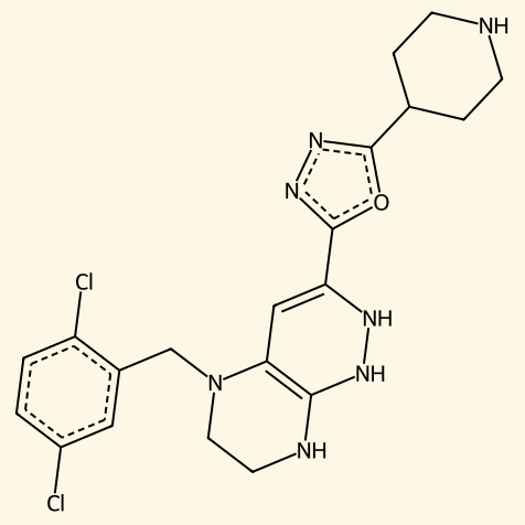 Clc1ccc(Cl)c(CN2CCNC3=C2C=C(c2nnc(C4CCNCC4)o2)NN3)c1